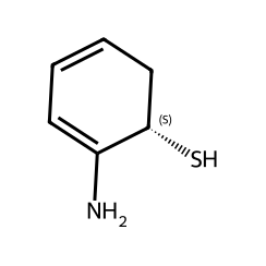 NC1=CC=CC[C@@H]1S